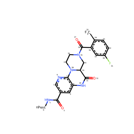 CCCCCNC(=O)c1cnc2c(c1)NC(=O)C1CN(C(=O)c3cc(F)ccc3C(F)(F)F)CCN21